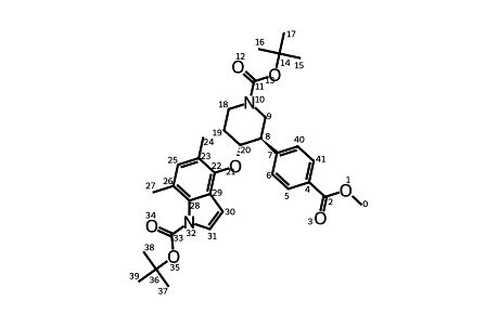 COC(=O)c1ccc([C@@H]2CN(C(=O)OC(C)(C)C)CC[C@H]2Oc2c(C)cc(C)c3c2ccn3C(=O)OC(C)(C)C)cc1